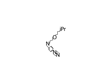 CC(C)CCCCOCCCCN(C)Cc1ccc(N2CCN(C)CC2)cc1